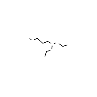 CCO[SiH](CCCNC)OCC